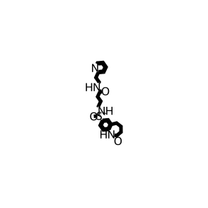 O=C(CCCN[S+]([O-])c1ccc2c(c1)CCCC(=O)N2)NCCc1ccccn1